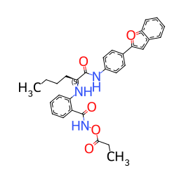 CCCC[C@H](Nc1ccccc1C(=O)NOC(=O)CC)C(=O)Nc1ccc(-c2cc3ccccc3o2)cc1